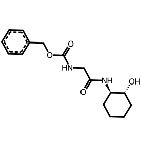 O=C(CNC(=O)OCc1ccccc1)N[C@@H]1CCCC[C@H]1O